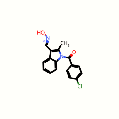 Cc1c(/C=N/O)c2ccccc2n1C(=O)c1ccc(Cl)cc1